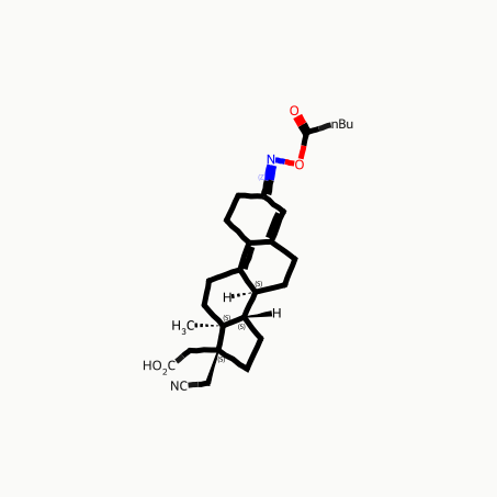 CCCCC(=O)O/N=C1\C=C2CC[C@@H]3C(=C2CC1)CC[C@@]1(C)[C@H]3CC[C@]1(CC#N)CC(=O)O